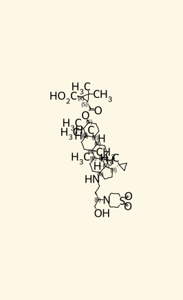 CC1([C@@H]2CC[C@]3(NCC[C@H](CO)N4CCS(=O)(=O)CC4)CC[C@]4(C)[C@H](CC[C@@H]5[C@@]6(C)CC[C@H](OC(=O)[C@H]7[C@@H](C(=O)O)C7(C)C)C(C)(C)[C@@H]6CC[C@]54C)[C@@H]23)CC1